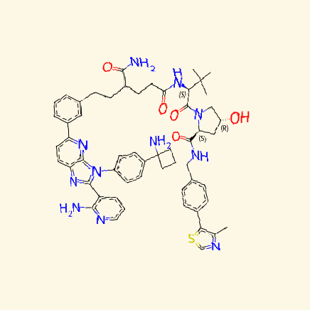 Cc1ncsc1-c1ccc(CNC(=O)[C@@H]2C[C@@H](O)CN2C(=O)[C@@H](NC(=O)CCC(CCc2cccc(-c3ccc4nc(-c5cccnc5N)n(-c5ccc(C6(N)CCC6)cc5)c4n3)c2)C(N)=O)C(C)(C)C)cc1